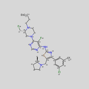 CCOC(=O)CCN1CCN(c2ncnc(Nc3nc(-c4cc(Cl)cc(C(F)(F)F)c4)c(CN4CCC[C@H]4C)s3)c2F)C[C@@H]1CF